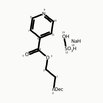 CCCCCCCCCCCCOC(=O)c1ccncc1.O=S(=O)(O)O.[NaH]